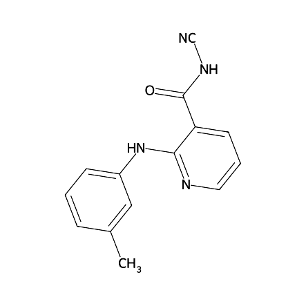 Cc1cccc(Nc2ncccc2C(=O)NC#N)c1